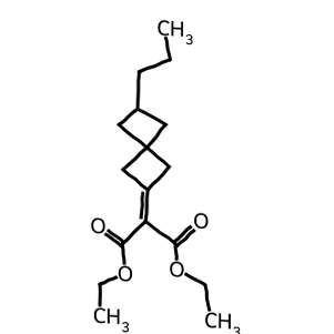 CCCC1CC2(CC(=C(C(=O)OCC)C(=O)OCC)C2)C1